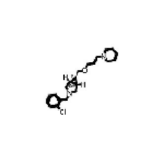 Clc1ccccc1CN1C[C@@H]2[C@@H](COCCCN3CCCCC3)[C@@H]2C1